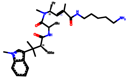 CN[C@H](C(=O)NC(C(=O)N(C)[C@H](/C=C(\C)C(=O)NCCCCCN)C(C)C)C(C)(C)C)C(C)(C)c1cn(C)c2ccccc12